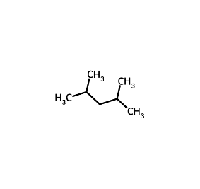 C[C](C)CC(C)C